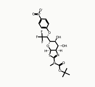 CN(C(=O)OC(C)(C)C)C1=N[C@@H]2[C@@H](O)[C@H](O)[C@@H]([C@@H](Oc3ccc([N+](=O)[O-])cc3)C(F)(F)F)O[C@@H]2S1